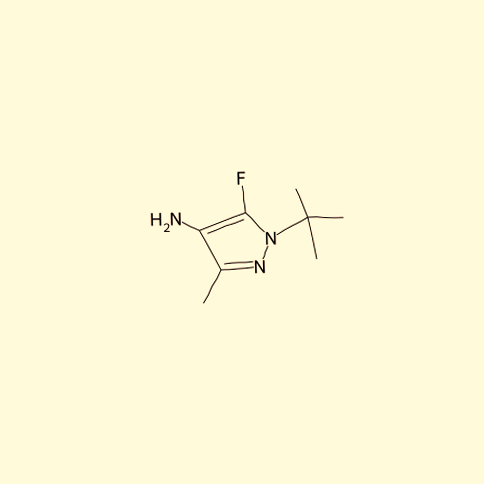 Cc1nn(C(C)(C)C)c(F)c1N